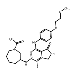 COCCOc1ccc(Nc2nc(NC3CCCCN(C(C)=O)C3)c(F)c3c2C(=O)NC3)cc1